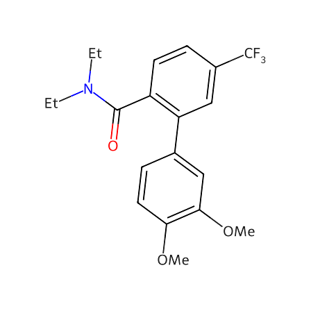 CCN(CC)C(=O)c1ccc(C(F)(F)F)cc1-c1ccc(OC)c(OC)c1